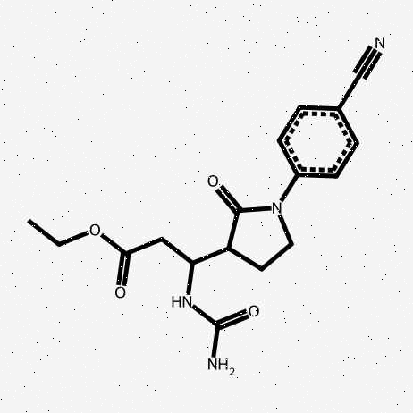 CCOC(=O)CC(NC(N)=O)C1CCN(c2ccc(C#N)cc2)C1=O